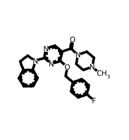 CN1CCN(C(=O)c2cnc(N3CCc4ccccc43)nc2OCc2ccc(F)cc2)CC1